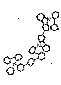 c1ccc(-c2ccccc2-n2c3ccccc3c3cc(-c4ccc5c(c4)c4ccccc4n5-c4ccccc4-c4ccccc4-c4ccc(-c5cccc(C6(c7ccccc7)c7ccccc7-c7ccccc76)c5)cc4)ccc32)cc1